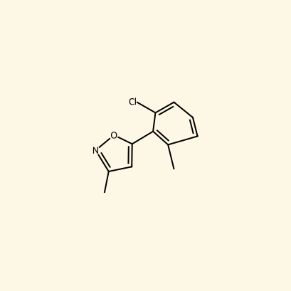 Cc1cc(-c2c(C)cccc2Cl)on1